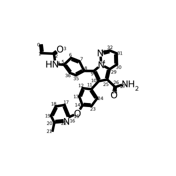 C=CC(=O)Nc1ccc(-c2c(-c3ccc(Oc4cccc(C)n4)cc3)c(C(N)=O)c3cccnn23)cc1